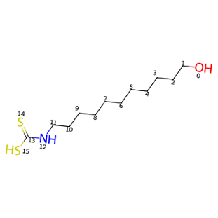 OCCCCCCCCCCCNC(=S)S